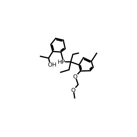 CCC(CC)(Pc1ccccc1C(C)O)c1cc(C)ccc1OCOC